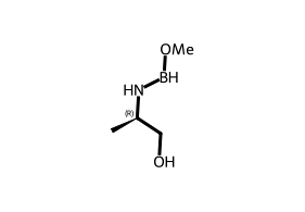 COBN[C@H](C)CO